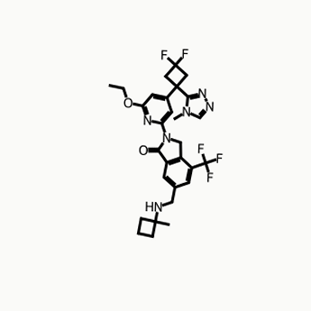 CCOc1cc(C2(c3nncn3C)CC(F)(F)C2)cc(N2Cc3c(cc(CNC4(C)CCC4)cc3C(F)(F)F)C2=O)n1